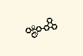 O=P(c1ccccc1)(c1ccc(-c2ccc3c4ccccc4c4ccccc4c3c2)cc1)c1ccccn1